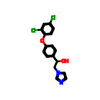 OC(Cn1ccnc1)c1ccc(Oc2ccc(Cl)cc2Cl)cc1